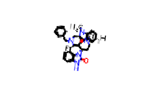 CCC(C1CN(C(=O)O)CCC1n1c(=O)[nH]c2ccccc21)N(Cc1ccccc1)Cc1cc2ccccc2n1C